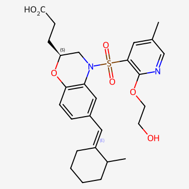 Cc1cnc(OCCO)c(S(=O)(=O)N2C[C@H](CCC(=O)O)Oc3ccc(/C=C4\CCCCC4C)cc32)c1